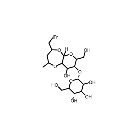 CC(C)CC1CC(C)OC2C(O)[C@H](O[C@H]3OC(CO)[C@@H](O)C(O)C3O)C(CO)O[C@H]2O1